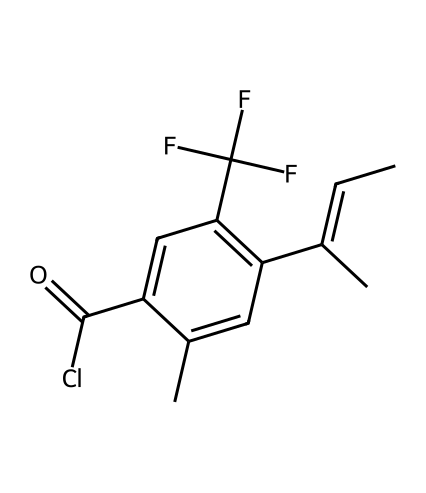 CC=C(C)c1cc(C)c(C(=O)Cl)cc1C(F)(F)F